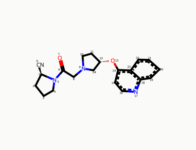 N#C[C@@H]1CCCN1C(=O)CN1CC[C@H](Oc2ccnc3ccccc23)C1